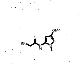 COc1cc(NC(=O)CC(C)(C)C)n(C)n1